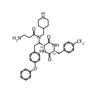 NCCC(=O)N(CC1CCNCC1)C(Cc1ccc(Oc2ccccc2)cc1)[C@@H]1NC(=O)[C@H](Cc2ccc(C(F)(F)F)cc2)NC1=O